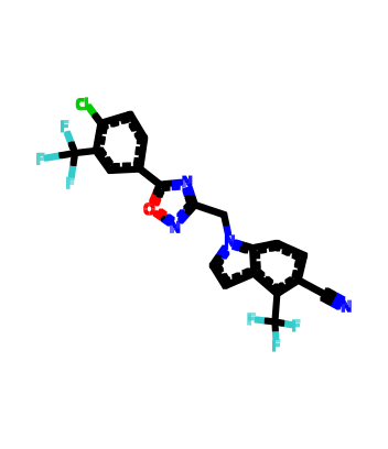 N#Cc1ccc2c(ccn2Cc2noc(-c3ccc(Cl)c(C(F)(F)F)c3)n2)c1C(F)(F)F